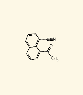 CC(=O)c1cccc2cccc(C#N)c12